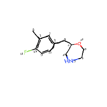 Cc1cc(CC2CNCCO2)ccc1F